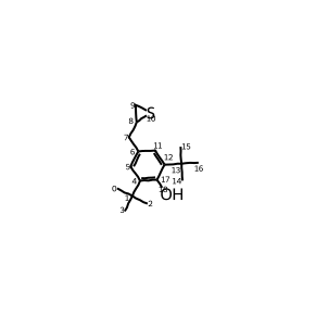 CC(C)(C)c1cc(CC2CS2)cc(C(C)(C)C)c1O